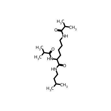 CC(C)CCNC(=O)C(CCCCNC(=O)C(C)C)NC(=O)C(C)C